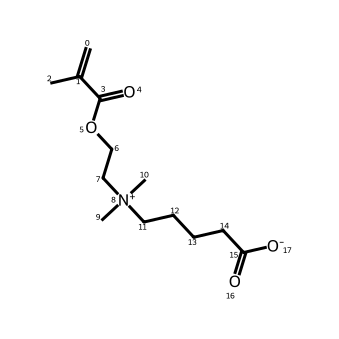 C=C(C)C(=O)OCC[N+](C)(C)CCCCC(=O)[O-]